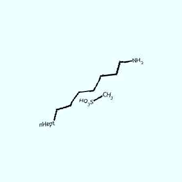 CCCCCCCCCCCCCCN.CS(=O)(=O)O